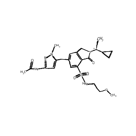 COCCNS(=O)(=O)c1cc(-c2cc(NC(C)=O)nn2C)cc2c1C(=O)N([C@@H](C)C1CC1)C2